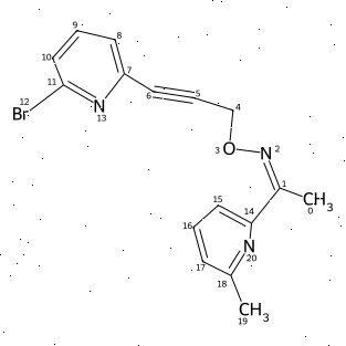 CC(=NOCC#Cc1cccc(Br)n1)c1cccc(C)n1